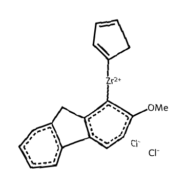 COc1ccc2c([c]1[Zr+2][C]1=CC=CC1)Cc1ccccc1-2.[Cl-].[Cl-]